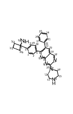 NC1(c2ccc(-c3nc4nc(N5CCNCC5)ncc4cc3-c3ccccc3)cc2)CCC1